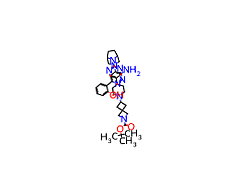 CC(C)(C)OC(=O)N1CC2(CC(N3CCC(c4cnc(N5C6CCC5CN(c5cc(-c7ccccc7O)nnc5N)C6)nc4)CC3)C2)C1